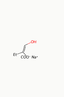 CCC(=CO)C(=O)[O-].[Na+]